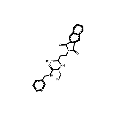 CC(C)C[C@@H](NC(CCN1C(=O)c2cc3ccccc3cc2C1=O)C(=O)O)C(=O)NCc1cccnc1